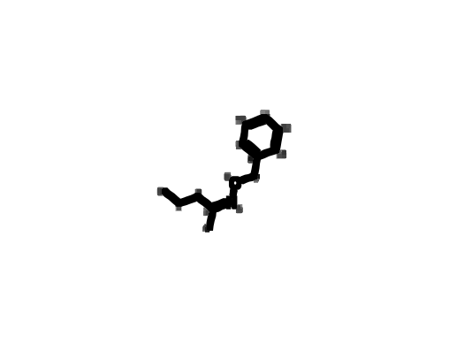 CCCC(C)=NOCc1ccccc1